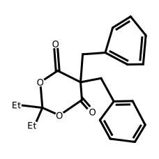 CCC1(CC)OC(=O)C(Cc2ccccc2)(Cc2ccccc2)C(=O)O1